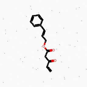 C=CC(=O)CC(=O)OCC=Cc1ccccc1